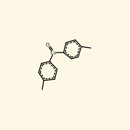 Cc1cc[c]([Co](=[O])[c]2ccc(C)cc2)cc1